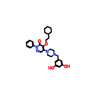 O=c1c(OCCC2CCCCC2)c(N2CCN(Cc3cc(O)cc(O)c3)CC2)cnn1-c1ccccc1